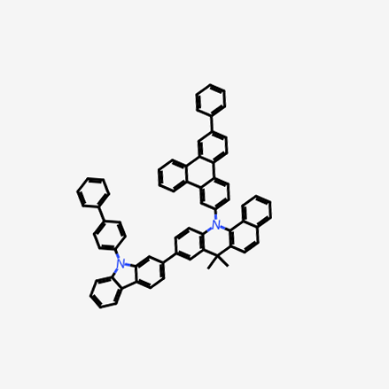 CC1(C)c2cc(-c3ccc4c5ccccc5n(-c5ccc(-c6ccccc6)cc5)c4c3)ccc2N(c2ccc3c4ccc(-c5ccccc5)cc4c4ccccc4c3c2)c2c1ccc1ccccc21